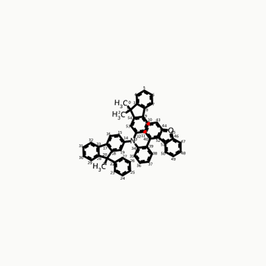 CC1(C)c2ccccc2-c2ccc(N(c3ccc4c(c3)C(C)(c3ccccc3)c3ccccc3-4)c3ccccc3-c3cccc4oc5ccccc5c34)cc21